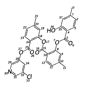 Cc1ccc(C(=O)Oc2cc(C)ccc2C(=O)Oc2cc(C)ccc2C(=O)Oc2cncc(Cl)c2)c(O)c1